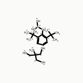 CC(C)(C)c1cccc(C(C)(C)C)c1OP(O)O.NC(CO)(CO)CO